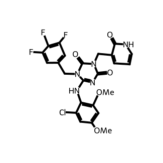 COc1cc(Cl)c(Nc2nc(=O)n(Cc3ccc[nH]c3=O)c(=O)n2Cc2cc(F)c(F)c(F)c2)c(OC)c1